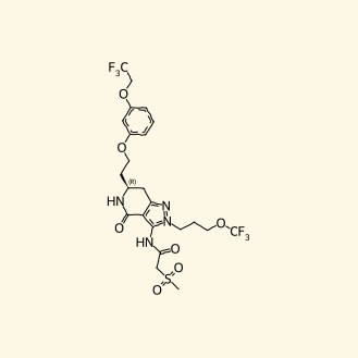 CS(=O)(=O)CC(=O)Nc1c2c(nn1CCCOC(F)(F)F)C[C@H](CCOc1cccc(OCC(F)(F)F)c1)NC2=O